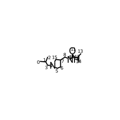 CC(C)CN1CCC(CNC(=O)C(C)C)C1